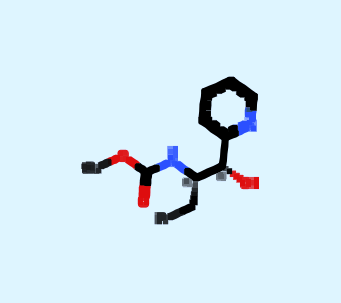 CC(C)C[C@H](NC(=O)OC(C)(C)C)[C@@H](O)c1ccccn1